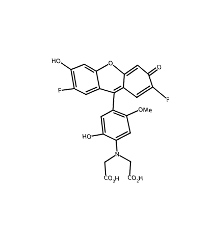 COc1cc(N(CC(=O)O)CC(=O)O)c(O)cc1-c1c2cc(F)c(=O)cc-2oc2cc(O)c(F)cc12